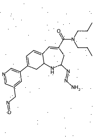 CCCN(CCC)C(=O)C1=CC2=CC=C(c3cncc(CN=O)c3)CC2NC(N=NN)C1